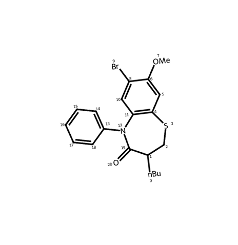 CCCCC1CSc2cc(OC)c(Br)cc2N(c2ccccc2)C1=O